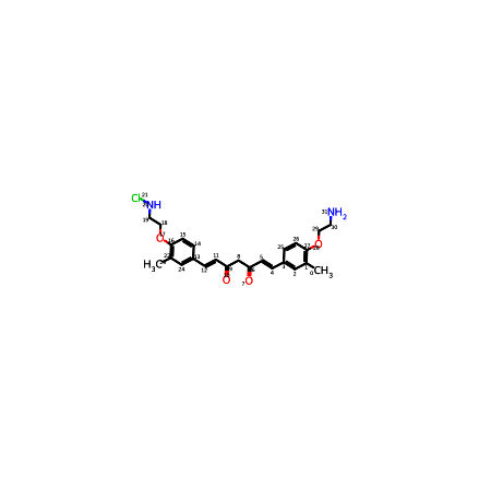 Cc1cc(/C=C/C(=O)CC(=O)/C=C/c2ccc(OCCNCl)c(C)c2)ccc1OCCN